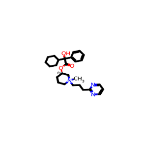 C[N+]1(CCCc2ncccn2)CCC[C@@H](OC(=O)C(O)(c2ccccc2)C2CCCCC2)C1